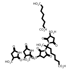 O=C(O)CCCCCC(C(=O)O)(N1C(=O)CC(S(=O)(=O)O)C1=O)N1C(=O)CC(S(=O)(=O)O)C1=O.O=C(O)CCCCCCC(=O)O.O=C1CC(S(=O)(=O)O)C(=O)N1.O=C1CC(S(=O)(=O)O)C(=O)N1